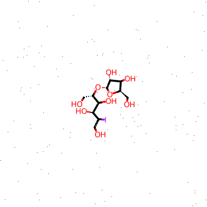 OCC(I)[C@@H](O)C(O)[C@H](CO)O[C@H]1O[C@H](CO)C(O)[C@H]1O